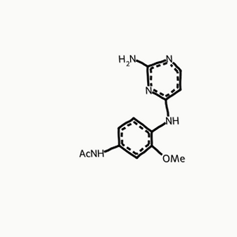 COc1cc(NC(C)=O)ccc1Nc1ccnc(N)n1